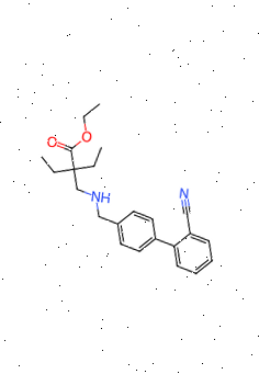 CCOC(=O)C(CC)(CC)CNCc1ccc(-c2ccccc2C#N)cc1